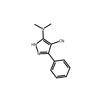 CN(C)c1[nH]nc(-c2ccccc2)c1C#N